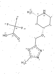 Cc1nnc(CO[C@H]2CCN[C@@H](C)C2)o1.O=C(O)C(F)(F)F